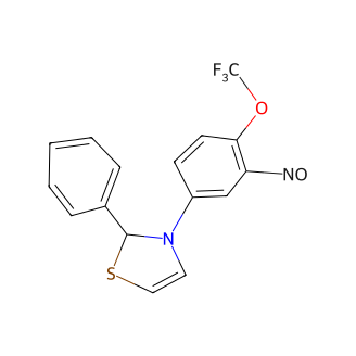 O=Nc1cc(N2C=CSC2c2ccccc2)ccc1OC(F)(F)F